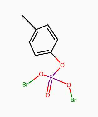 Cc1ccc(OP(=O)(OBr)OBr)cc1